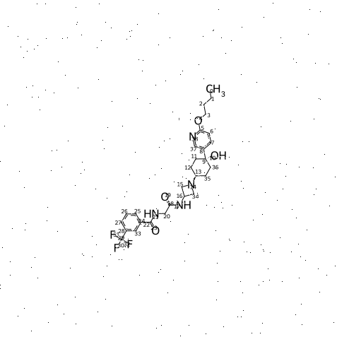 CCCCOc1ccc([C@]2(O)CC[C@H](N3CC(NC(=O)CNC(=O)c4cccc(C(F)(F)F)c4)C3)CC2)cn1